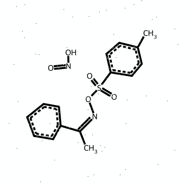 CC(=NOS(=O)(=O)c1ccc(C)cc1)c1ccccc1.O=NO